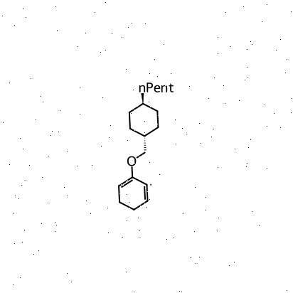 CCCCC[C@H]1CC[C@H](COC2=CCCC=[C]2)CC1